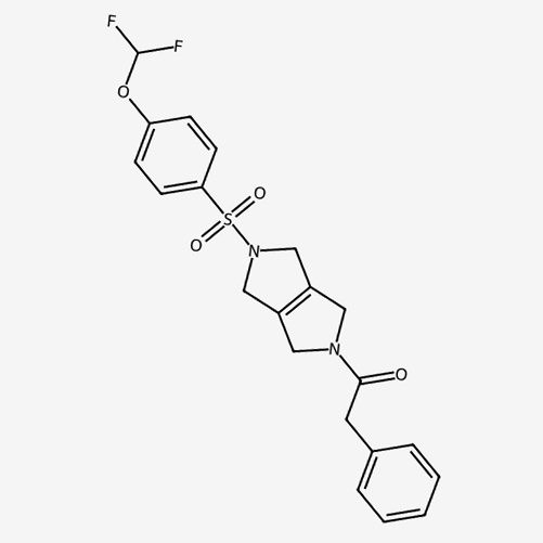 O=C(Cc1ccccc1)N1CC2=C(C1)CN(S(=O)(=O)c1ccc(OC(F)F)cc1)C2